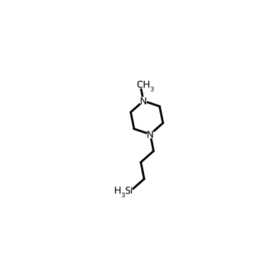 CN1CCN(CCC[SiH3])CC1